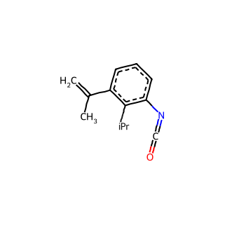 C=C(C)c1cccc(N=C=O)c1C(C)C